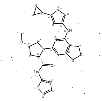 CO[C@H]1C[C@@H](C(=O)Nc2ncns2)N(c2nc3c(c(Nc4cc(C5CC5)[nH]n4)n2)CCC3)C1